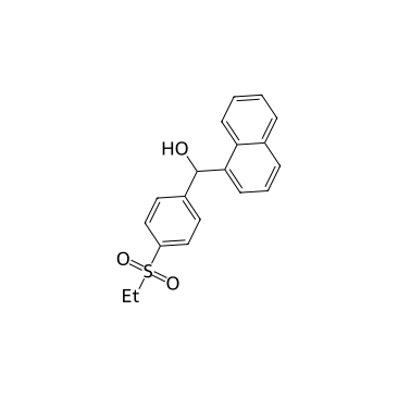 CCS(=O)(=O)c1ccc(C(O)c2cccc3ccccc23)cc1